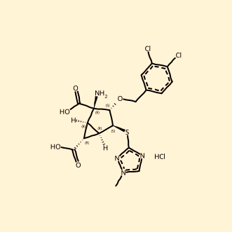 Cl.Cn1cnc(S[C@H]2[C@H]3[C@H](C(=O)O)[C@H]3[C@](N)(C(=O)O)[C@@H]2OCc2ccc(Cl)c(Cl)c2)n1